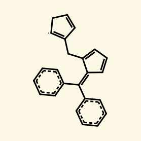 [C]1=C(CC2=CC=CC2=C(c2ccccc2)c2ccccc2)C=CC1